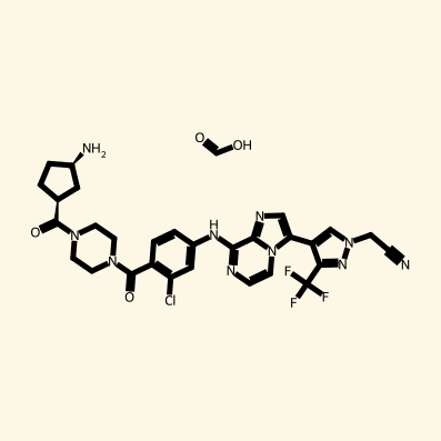 N#CCn1cc(-c2cnc3c(Nc4ccc(C(=O)N5CCN(C(=O)[C@H]6CC[C@@H](N)C6)CC5)c(Cl)c4)nccn23)c(C(F)(F)F)n1.O=CO